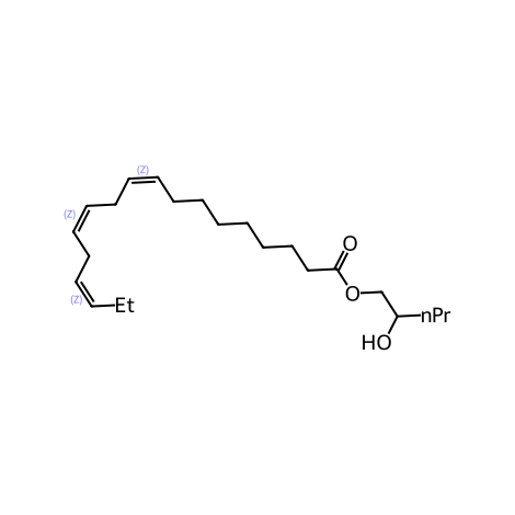 CC/C=C\C/C=C\C/C=C\CCCCCCCC(=O)OCC(O)CCC